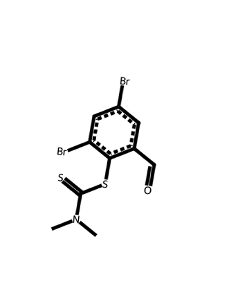 CN(C)C(=S)Sc1c(Br)cc(Br)cc1C=O